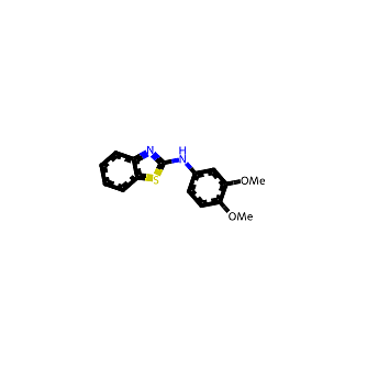 COc1ccc(Nc2nc3ccccc3s2)cc1OC